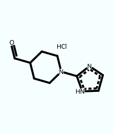 Cl.O=CC1CCN(c2ncc[nH]2)CC1